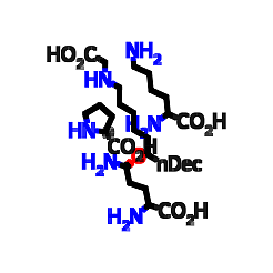 CCCCCCCCCCCCCCCCNCC(=O)O.NC(=O)CCC(N)C(=O)O.NCCCCC(N)C(=O)O.O=C(O)[C@@H]1CCCN1